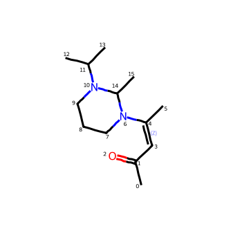 CC(=O)/C=C(/C)N1CCCN(C(C)C)C1C